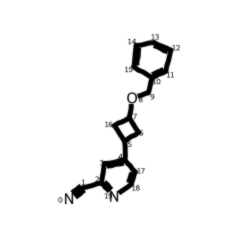 N#Cc1cc(C2CC(OCc3ccccc3)C2)ccn1